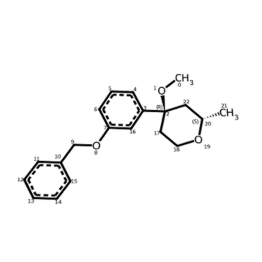 CO[C@]1(c2cccc(OCc3ccccc3)c2)CCO[C@@H](C)C1